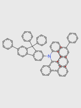 c1ccc(-c2ccc(-c3c(N(c4ccc5c(c4)C(c4ccccc4)(c4ccccc4)c4cc(-c6ccccc6)ccc4-5)c4ccccc4-c4ccccc4)c4ccccc4c4ccccc34)cc2)cc1